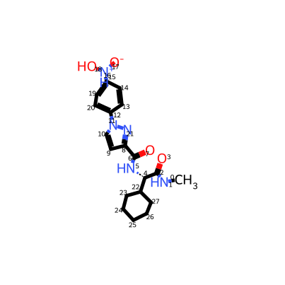 CNC(=O)[C@@H](NC(=O)c1ccn(-c2ccc([NH+]([O-])O)cc2)n1)C1CCCCC1